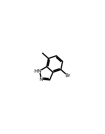 Cc1ccc(Br)c2cn[nH]c12